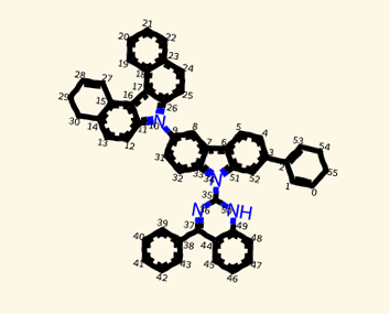 C1=CC(c2ccc3c4cc(-n5c6ccc7c(c6c6c8ccccc8ccc65)C=CCC7)ccc4n(C4N=C(c5ccccc5)c5ccccc5N4)c3c2)=CCC1